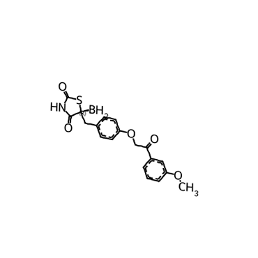 B[C@]1(Cc2ccc(OCC(=O)c3cccc(OC)c3)cc2)SC(=O)NC1=O